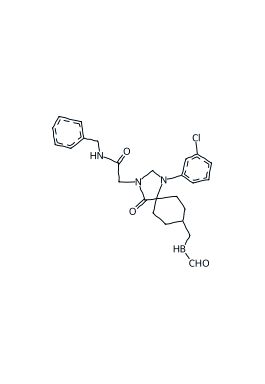 O=CBCC1CCC2(CC1)C(=O)N(CC(=O)NCc1ccccc1)CN2c1cccc(Cl)c1